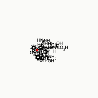 N=C(N)NCCC[C@H](NC(=O)[C@@H]1CCCN1C(=O)[C@@H]1CCCN1C(=O)[C@@H](N)CO)C(=O)N[C@@H](Cc1ccc(O)cc1)C(=O)N1CCC[C@H]1C(=O)NCC(=O)NCC(=O)NCC(=O)N[C@@H](CO)C(=O)O